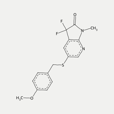 COc1ccc(CSc2cnc3c(c2)C(F)(F)C(=O)N3C)cc1